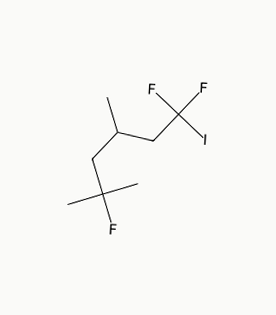 CC(CC(C)(C)F)CC(F)(F)I